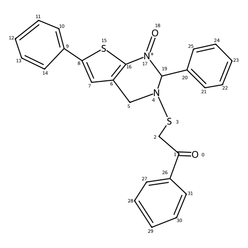 O=C(CSN1Cc2cc(-c3ccccc3)sc2[N+](=O)C1c1ccccc1)c1ccccc1